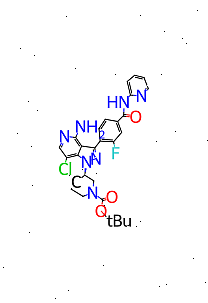 CC(C)(C)OC(=O)N1CCC[C@@H](n2nc(-c3ccc(C(=O)Nc4ccccn4)cc3F)c3c(N)ncc(Cl)c32)C1